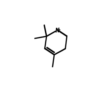 CC1=CC(C)(C)[N]CC1